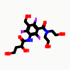 O=C(Nc1c(I)c(CO)c(I)c(C(=O)N(CCO)CCO)c1I)C(O)CCO